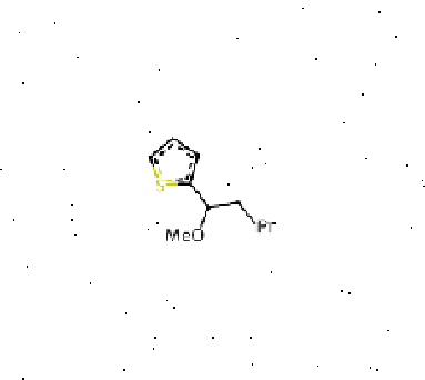 COC(CC(C)C)c1cccs1